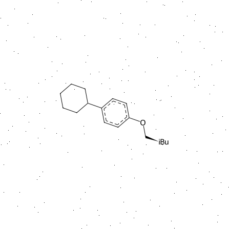 CC[C@H](C)COc1ccc(C2CCCCC2)cc1